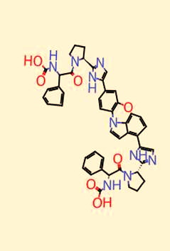 O=C(O)N[C@@H](C(=O)N1CCC[C@H]1c1ncc(-c2ccc3c(c2)Oc2ccc(-c4cnc([C@@H]5CCCN5C(=O)[C@H](NC(=O)O)c5ccccc5)[nH]4)c4ccn-3c24)[nH]1)c1ccccc1